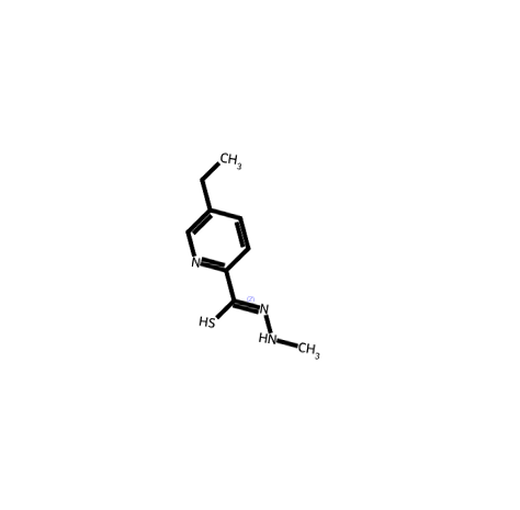 CCc1ccc(/C(S)=N/NC)nc1